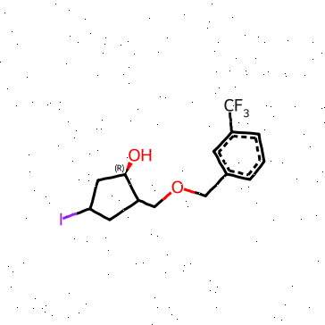 O[C@@H]1CC(I)CC1COCc1cccc(C(F)(F)F)c1